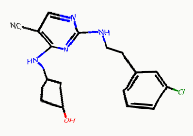 N#Cc1cnc(NCCc2cccc(Cl)c2)nc1NC1CC(O)C1